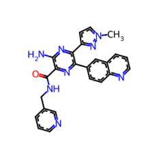 Cn1ccc(-c2nc(N)c(C(=O)NCc3cccnc3)nc2-c2ccc3ncccc3c2)n1